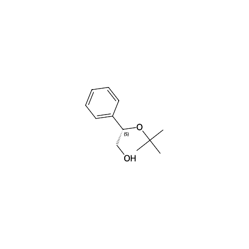 CC(C)(C)O[C@H](CO)c1ccccc1